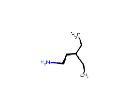 [CH2]CC(CC)CCN